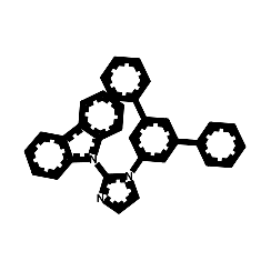 c1ccc(-c2cc(-c3ccccc3)cc(-n3ccnc3-n3c4ccccc4c4ccccc43)c2)cc1